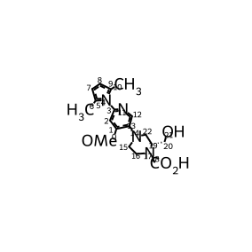 COc1cc(-n2c(C)ccc2C)ncc1N1CCN(C(=O)O)[C@@H](CO)C1